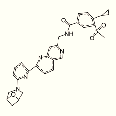 CS(=O)(=O)c1cc(C(=O)NCc2cc3nc(-c4cccc(N5CC6CC(C5)O6)n4)ccc3cn2)ccc1C1CC1